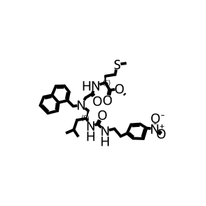 COC(=O)[C@H](CCSC)NC(=O)CN(Cc1cccc2ccccc12)C[C@H](CC(C)C)NC(=O)NCCc1ccc([N+](=O)[O-])cc1